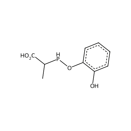 CC(POc1ccccc1O)C(=O)O